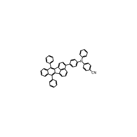 N#Cc1ccc(N(c2ccccc2)c2ccc(-c3ccc4c5c(cccc35)-c3c-4c(-c4ccccc4)c4ccccc4c3-c3ccccc3)cc2)cc1